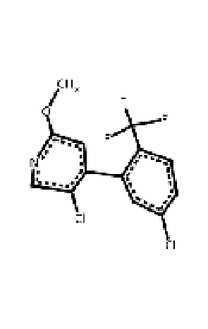 COc1cc(-c2cc(Cl)ccc2C(F)(F)F)c(Cl)cn1